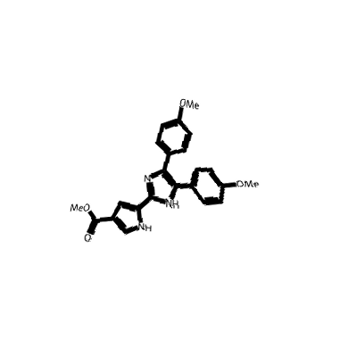 COC(=O)c1c[nH]c(-c2nc(-c3ccc(OC)cc3)c(-c3ccc(OC)cc3)[nH]2)c1